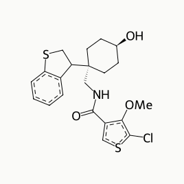 COc1c(C(=O)NC[C@]2(C3CSc4ccccc43)CC[C@@H](O)CC2)csc1Cl